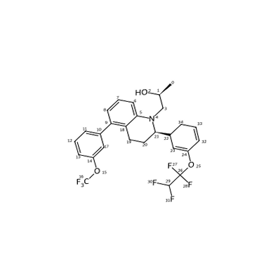 C[C@H](O)CN1c2cccc(-c3cccc(OC(F)(F)F)c3)c2CC[C@@H]1C1C=C(OC(F)(F)C(F)F)C=CC1